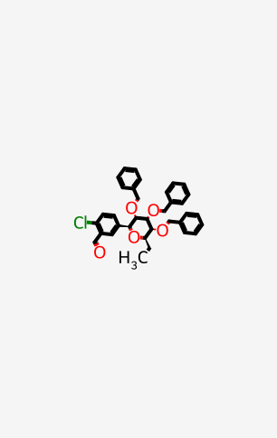 CC[C@H]1O[C@@H](c2ccc(Cl)c(C=O)c2)[C@H](OCc2ccccc2)[C@@H](OCc2ccccc2)[C@@H]1OCc1ccccc1